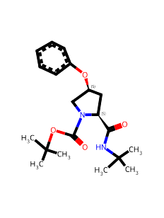 CC(C)(C)NC(=O)[C@@H]1C[C@H](Oc2ccccc2)CN1C(=O)OC(C)(C)C